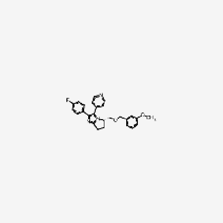 COc1cccc(COC[C@@H]2CCc3nc(-c4ccc(F)cc4)c(-c4ccncc4)n32)c1